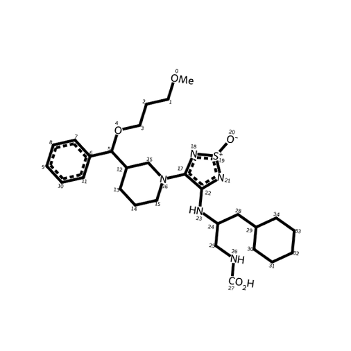 COCCCOC(c1ccccc1)C1CCCN(c2n[s+]([O-])nc2NC(CNC(=O)O)CC2CCCCC2)C1